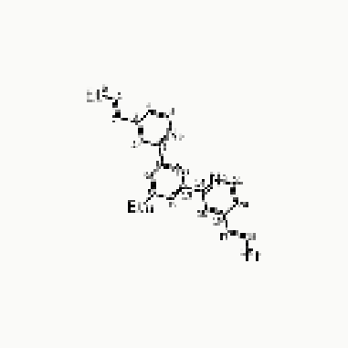 CC/C=C/c1ccnc(-c2cc(CC)cc(-c3cc(/C=C/CC)ccn3)n2)c1